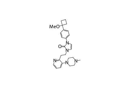 COC1(c2ccc(-n3ccn(CCc4ncccc4N4CCN(C)CC4)c3=O)cc2)CCC1